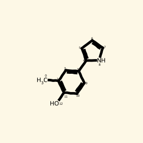 Cc1cc(-c2ccc[nH]2)ccc1O